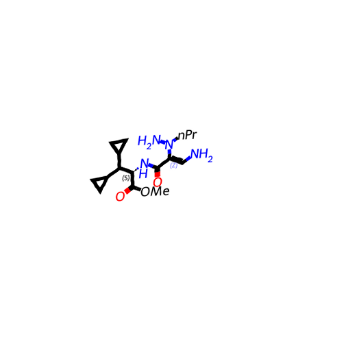 CCCN(N)/C(=C\N)C(=O)N[C@H](C(=O)OC)C(C1CC1)C1CC1